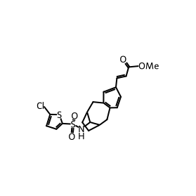 COC(=O)C=Cc1ccc2c(c1)CC1CCC(C2)C1NS(=O)(=O)c1ccc(Cl)s1